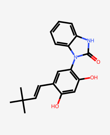 CC(C)(C)/C=C/c1cc(-n2c(=O)[nH]c3ccccc32)c(O)cc1O